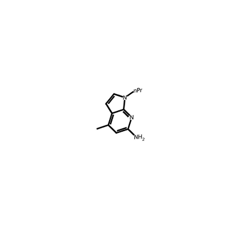 CCCn1ccc2c(C)cc(N)nc21